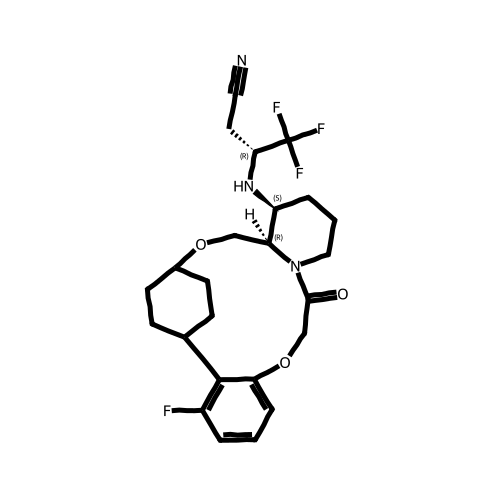 N#CC[C@@H](N[C@H]1CCCN2C(=O)COc3cccc(F)c3C3CCC(CC3)OC[C@@H]12)C(F)(F)F